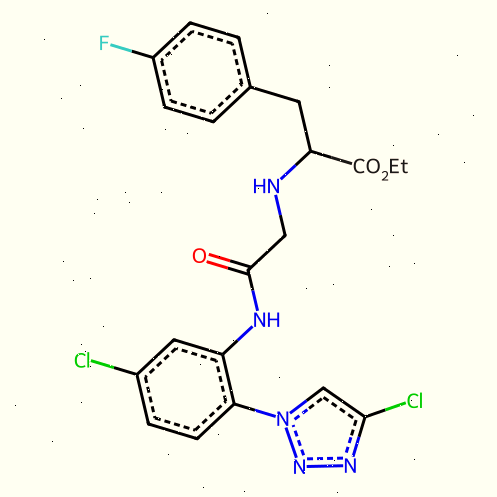 CCOC(=O)C(Cc1ccc(F)cc1)NCC(=O)Nc1cc(Cl)ccc1-n1cc(Cl)nn1